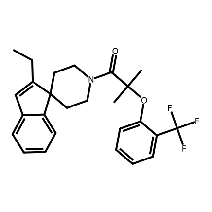 CCC1=Cc2ccccc2C12CCN(C(=O)C(C)(C)Oc1ccccc1C(F)(F)F)CC2